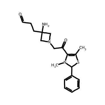 CC1=C(C(=O)CN2CC(N)(CCC=O)C2)N(C)C(c2ccccc2)S1